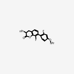 CCCOc1ccc(-c2ccc3c(c2F)OC(=O)C(CCC)C3)c(F)c1